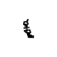 CC1CCN(C(C)(C)C23CCN(C(C)(C)C)C2C3)C1